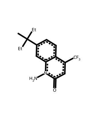 CCC(C)(CC)c1ccc2c(C(F)(F)F)cc(=O)n(N)c2c1